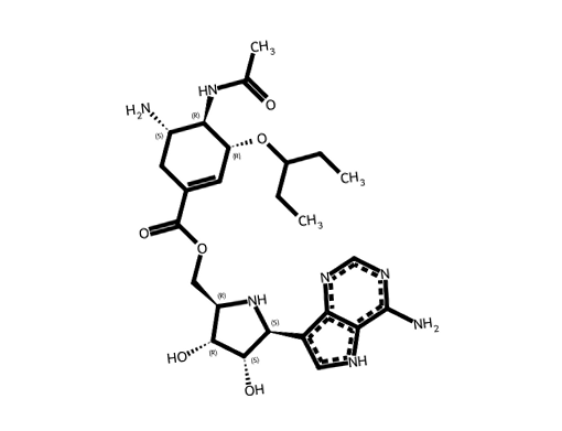 CCC(CC)O[C@@H]1C=C(C(=O)OC[C@H]2N[C@@H](c3c[nH]c4c(N)ncnc34)[C@H](O)[C@@H]2O)C[C@H](N)[C@H]1NC(C)=O